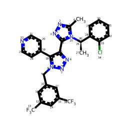 Cc1nnc(-c2nnn(Cc3cc(C(F)(F)F)cc(C(F)(F)F)c3)c2-c2ccncc2)n1[C@H](C)c1ccccc1Cl